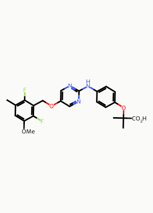 COc1cc(C)c(F)c(COc2cnc(Nc3ccc(OC(C)(C)C(=O)O)cc3)nc2)c1F